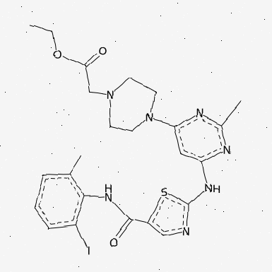 CCOC(=O)CN1CCN(c2cc(Nc3ncc(C(=O)Nc4c(C)cccc4I)s3)nc(C)n2)CC1